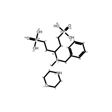 C1COCCN1.CN(Cc1ccccc1)C(CCP(=O)(O)O)CCP(=O)(O)O